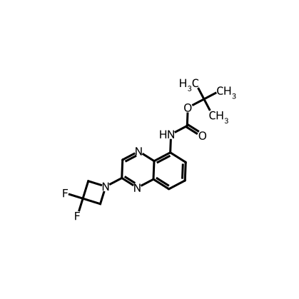 CC(C)(C)OC(=O)Nc1cccc2nc(N3CC(F)(F)C3)cnc12